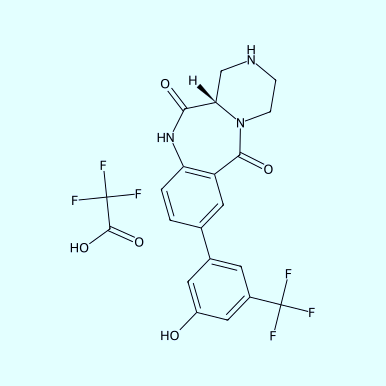 O=C(O)C(F)(F)F.O=C1Nc2ccc(-c3cc(O)cc(C(F)(F)F)c3)cc2C(=O)N2CCNC[C@@H]12